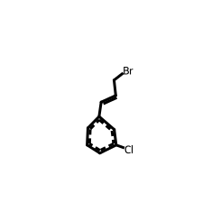 Clc1cccc(C=CCBr)c1